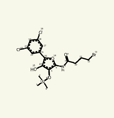 C[Si](C)(C)Oc1c(NC(=O)CCCBr)oc(-c2cc(Cl)cc(Cl)c2)c1O